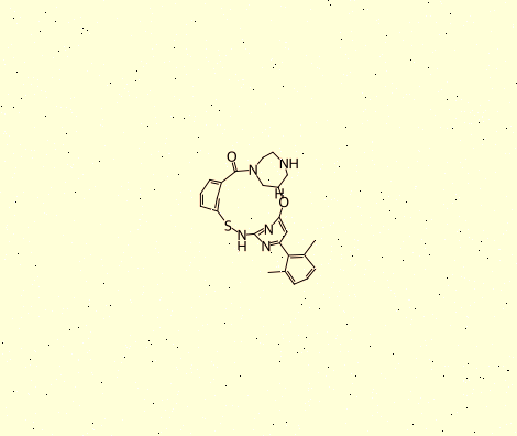 Cc1cccc(C)c1-c1cc2nc(n1)NSc1cccc(c1)C(=O)N1CCNC[C@H](C1)O2